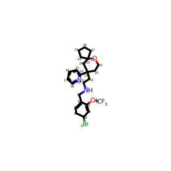 FC(F)(F)OC1=CC(Br)CC=C1CNCCC1(c2ccccn2)CCOC2(CCCC2)C1